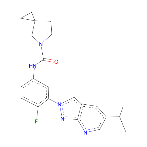 CC(C)c1cnc2nn(-c3cc(NC(=O)N4CCC5(CC5)C4)ccc3F)cc2c1